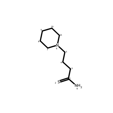 NC(=S)CCCN1CCCCC1